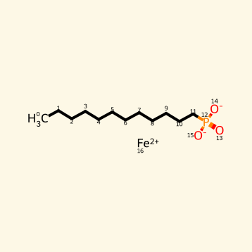 CCCCCCCCCCCCP(=O)([O-])[O-].[Fe+2]